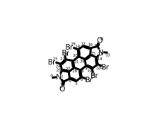 CN1C(=O)c2cc(Br)c3c4c(Br)c(Br)c5c6c(cc(Br)c(c7c(Br)c(Br)c1c2c37)c64)C(=O)N5C